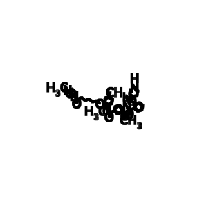 COc1cc(C(=O)N(C)c2ccc(C)cc2OCCCCCC(=O)N2CCN(C)CC2)ccc1NC(=O)c1ccccc1OC1CCNCC1